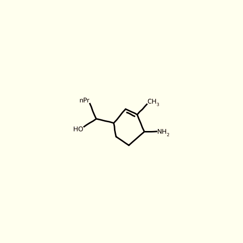 CCCC(O)C1C=C(C)C(N)CC1